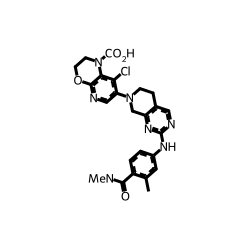 CNC(=O)c1ccc(Nc2ncc3c(n2)CN(c2cnc4c(c2Cl)N(C(=O)O)CCO4)CC3)cc1C